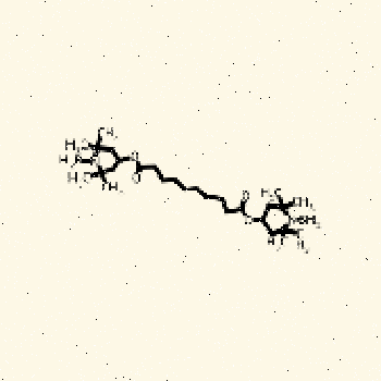 BN1C(C)(C)CC(OC(=O)CCCCCCCCC(=O)OC2CC(C)(C)N(B)C(C)(C)C2)CC1(C)C